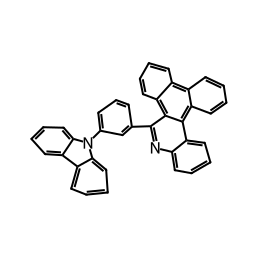 c1cc(-c2nc3ccccc3c3c4ccccc4c4ccccc4c23)cc(-n2c3ccccc3c3ccccc32)c1